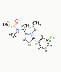 C=CCN1[C@@H]([C@H](C)N(C)[S@@+]([O-])C(C)(C)C)CC[C@H]1c1cccc(F)c1